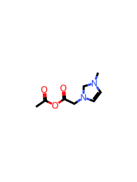 CC(=O)OC(=O)CN1C=CN(C)C1